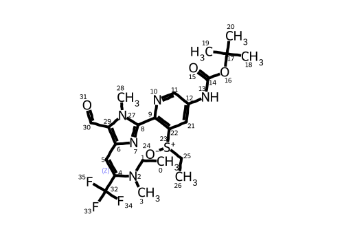 CCN(C)/C(=C\c1nc(-c2ncc(NC(=O)OC(C)(C)C)cc2[S+]([O-])CC)n(C)c1C=O)C(F)(F)F